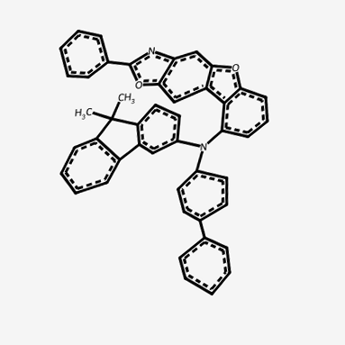 CC1(C)c2ccccc2-c2cc(N(c3ccc(-c4ccccc4)cc3)c3cccc4oc5cc6nc(-c7ccccc7)oc6cc5c34)ccc21